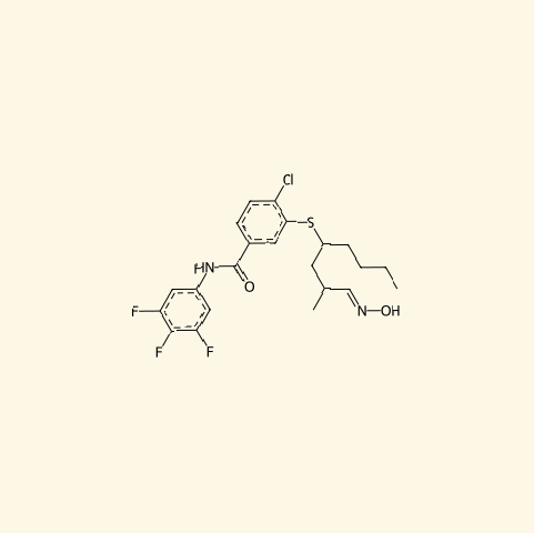 CCCCC(CC(C)/C=N/O)Sc1cc(C(=O)Nc2cc(F)c(F)c(F)c2)ccc1Cl